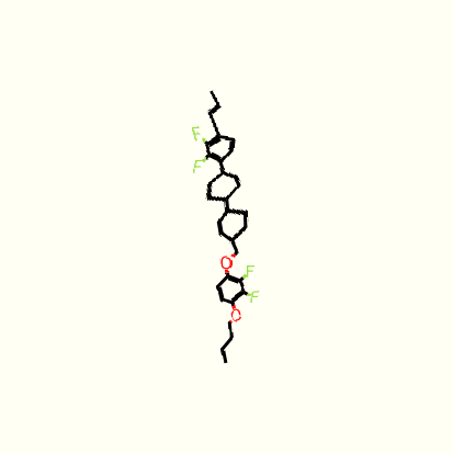 CCCCOc1ccc(OCC2CCC(C3CCC(c4ccc(CCC)c(F)c4F)CC3)CC2)c(F)c1F